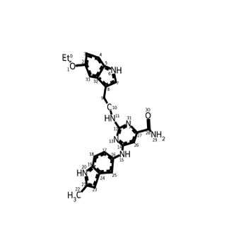 CCOc1ccc2[nH]cc(CCNc3nc(Nc4ccc5[nH]c(C)cc5c4)cc(C(N)=O)n3)c2c1